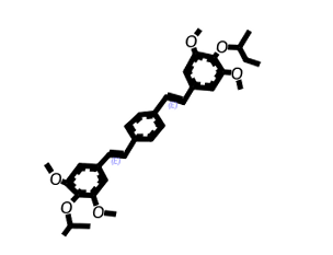 CCC(C)Oc1c(OC)cc(/C=C/c2ccc(/C=C/c3cc(OC)c(OC(C)C)c(OC)c3)cc2)cc1OC